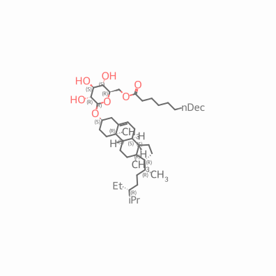 CCCCCCCCCCCCCCCC(=O)OC[C@H]1O[C@@H](O[C@H]2CC[C@@]3(C)C(=CC[C@H]4[C@@H]5CC[C@H]([C@H](C)CC[C@@H](CC)C(C)C)[C@@]5(C)CC[C@@H]43)C2)[C@H](O)[C@@H](O)[C@@H]1O